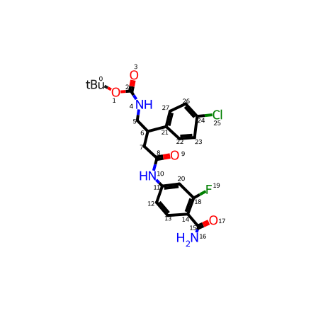 CC(C)(C)OC(=O)NCC(CC(=O)Nc1ccc(C(N)=O)c(F)c1)c1ccc(Cl)cc1